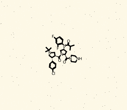 CC(C)C(=O)N(c1ccc(F)cc1F)[C@H]1C[C@@H](C(=O)N2CCNCC2)N(C(=O)[C@@H]2CN(C(C)(C)C)C[C@H]2c2ccc(Cl)cc2)C1